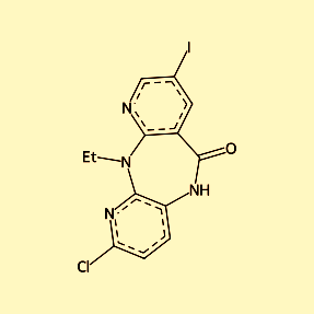 CCN1c2nc(Cl)ccc2NC(=O)c2cc(I)cnc21